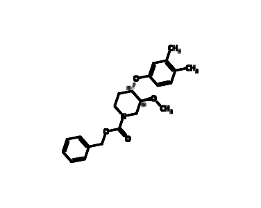 CO[C@H]1CN(C(=O)OCc2ccccc2)CC[C@@H]1Oc1ccc(C)c(C)c1